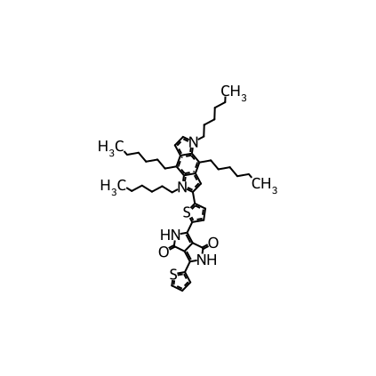 CCCCCCc1c2cc(-c3ccc(C4=C5C(=O)NC(c6cccs6)=C5C(=O)N4)s3)n(CCCCCC)c2c(CCCCCC)c2ccn(CCCCCC)c12